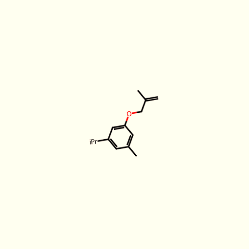 C=C(C)COc1cc(C)cc(C(C)C)c1